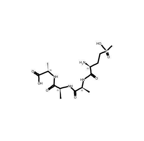 C[C@H](NC(=O)[C@H](C)NC(=O)[C@H](C)NC(=O)[C@@H](N)CCP(C)(=O)O)C(=O)O